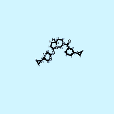 O=C(c1cccc(C2CC2)c1)N1CC[C@@H]2CC[C@H](Oc3cnc(C4CC4)cn3)N2C1